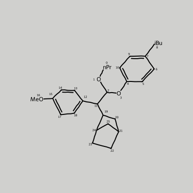 CCCOC(Oc1ccc(C(C)CC)cc1)C(c1ccc(OC)cc1)C1CC2CCC1C2